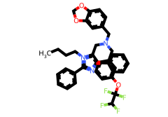 CCCCn1c(-c2ccccc2)nc(-c2ccccc2)c1CN(Cc1cccc(OC(F)(F)C(F)F)c1)Cc1ccc2c(c1)OCO2